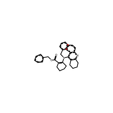 O=C(OCc1ccccc1)C1=C(N(Cc2ccccc2)c2c3c(nc4ccccc24)CCCC3)CCCC1